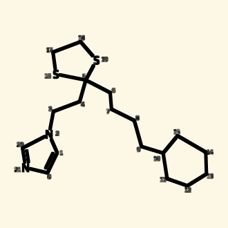 c1cn(CCC2(CCCCC3CCCCC3)SCCS2)cn1